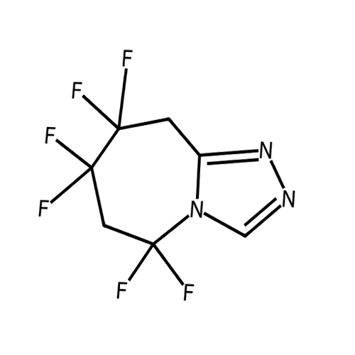 FC1(F)CC(F)(F)C(F)(F)Cc2nncn21